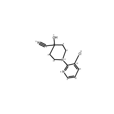 N#CC1(O)CCN(c2ncccc2Cl)CC1